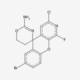 NC1=NC2(CCO1)c1cc(Br)ccc1Oc1c2cc(Cl)nc1F